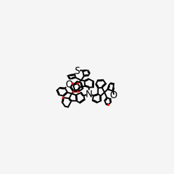 C1=CC2=C(CC1)c1ccc(N(c3cccc4c3-c3ccccc3C43c4ccccc4Oc4ccccc43)c3cccc4c3-c3ccccc3C43c4ccccc4Sc4ccccc43)cc1C21c2ccccc2Oc2ccccc21